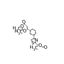 CC(OC=O)c1nc(-c2cccc(C3=CC(=O)OC(C)(C)O3)c2)cs1